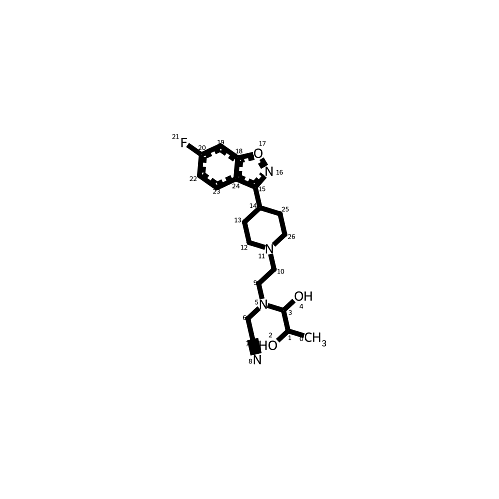 CC(O)C(O)N(CC#N)CCN1CCC(c2noc3cc(F)ccc23)CC1